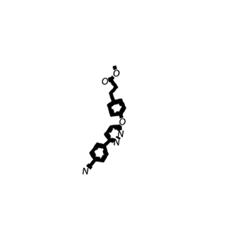 COC(=O)CCc1ccc(Oc2ccc(-c3ccc(C#N)cc3)nn2)cc1